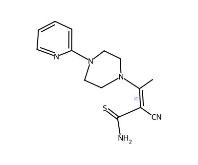 C/C(=C(\C#N)C(N)=S)N1CCN(c2ccccn2)CC1